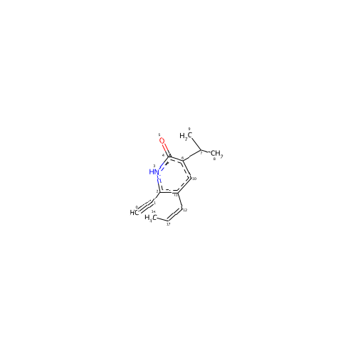 C#Cc1[nH]c(=O)c(C(C)C)cc1/C=C\C